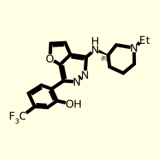 CCN1CCC[C@@H](Nc2nnc(-c3ccc(C(F)(F)F)cc3O)c3occc23)C1